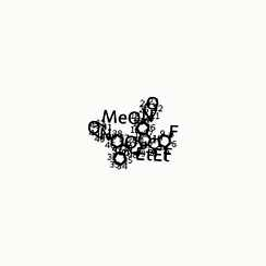 CCC1(CC)c2c(F)cc(F)cc2-c2c1c1c(c3cc(OC)c(N4CCOCC4)cc23)OC(c2ccccc2)(c2ccc(N3CCOCC3)cc2)C=C1